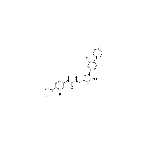 O=C(NCC1CN(c2ccc(N3CCOCC3)c(F)c2)C(=O)O1)Nc1ccc(N2CCOCC2)c(F)c1